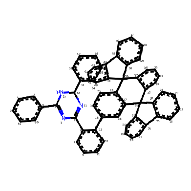 c1ccc(C2=NC(c3ccccc3-c3ccc4c(c3)C3(c5ccccc5-c5ccccc53)c3ccccc3C43c4ccccc4-c4ccccc43)=NC(c3ccccc3)N2)cc1